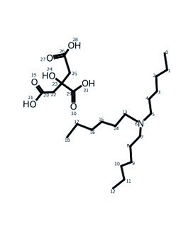 CCCCCCN(CCCCCC)CCCCCC.O=C(O)CC(O)(CC(=O)O)C(=O)O